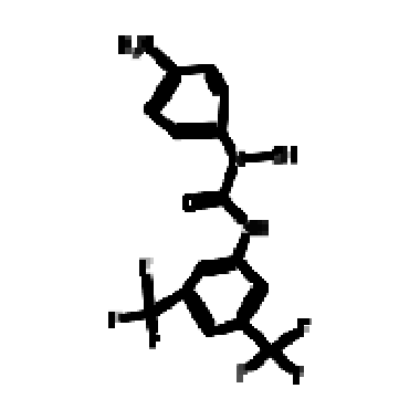 Nc1ccc(N(S)C(=O)Nc2cc(C(F)(F)F)cc(C(F)(F)F)c2)cc1